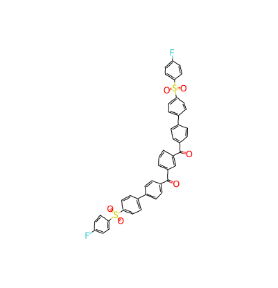 O=C(c1ccc(-c2ccc(S(=O)(=O)c3ccc(F)cc3)cc2)cc1)c1cccc(C(=O)c2ccc(-c3ccc(S(=O)(=O)c4ccc(F)cc4)cc3)cc2)c1